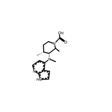 CC1[C@H](N(C)c2ccnc3[nH]ccc23)[C@H](C)CCN1C(=O)O